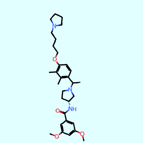 COc1cc(OC)cc(C(=O)N[C@@H]2CCN(C(C)c3ccc(OCCCCN4CCCC4)c(C)c3C)C2)c1